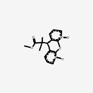 COC(=O)C(C)(C)C1c2ccc[n+]([O-])c2Oc2c1ccc[n+]2[O-]